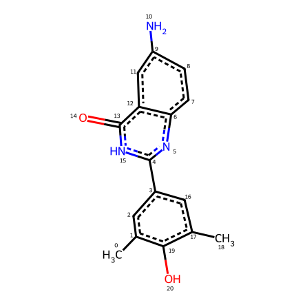 Cc1cc(-c2nc3ccc(N)cc3c(=O)[nH]2)cc(C)c1O